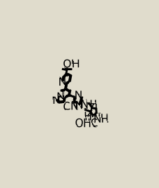 CC(C)(O)c1ccc(-c2cc(-c3cnc(N4C[C@@H]5C[C@@](C)(NC=O)C[C@@H]5C4)cn3)c3c(C#N)cnn3c2)nc1